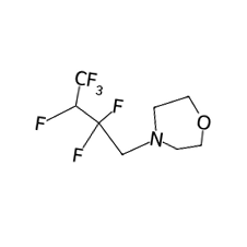 FC(C(F)(F)F)C(F)(F)CN1CCOCC1